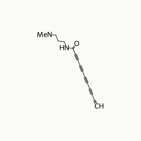 C#CC#CC#CC#CC#CC(=O)NCCCNC